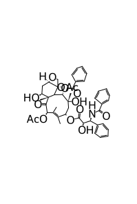 CC(=O)O[C@H]1C(=O)[C@@]2(C)C([C@H](OC(=O)c3ccccc3)[C@](C)(O)C[C@H](OC(=O)[C@H](O)[C@@H](NC(=O)c3ccccc3)c3ccccc3)/C(C)=C/1C)[C@]1(OC(C)=O)CO[C@@H]1C[C@@H]2O